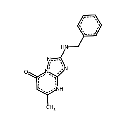 Cc1cc(=O)n2nc(NCc3ccccc3)nc2[nH]1